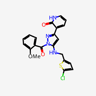 COc1ccccc1C(=O)n1nc(-c2ccc[nH]c2=O)cc1NCc1ccc(Cl)s1